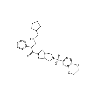 O=C(C(CNCC1CCCC1)c1ccccc1)N1CC2=C(C1)CN(S(=O)(=O)c1ccc3c(c1)OCCO3)C2